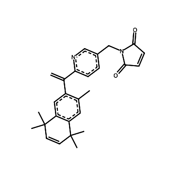 C=C(c1ccc(CN2C(=O)C=CC2=O)cn1)c1cc2c(cc1C)C(C)(C)C=CC2(C)C